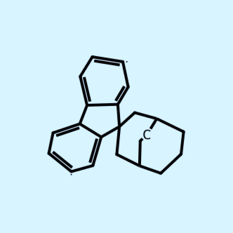 [c]1ccc2c(c1)C1(CC3CCCC(CC3)C1)c1c[c]ccc1-2